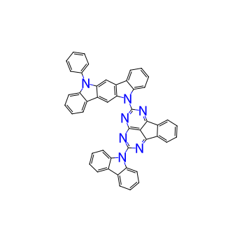 c1ccc(-n2c3ccccc3c3cc4c(cc32)c2ccccc2n4-c2nc3c4c(nc(-n5c6ccccc6c6ccccc65)nc4n2)-c2ccccc2-3)cc1